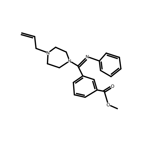 C=CCN1CCN(C(=Nc2ccccc2)c2cccc(C(=O)OC)c2)CC1